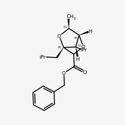 CC(C)C[C@]12O[C@@H](C)[C@H](OC1C(=O)OCc1ccccc1)[C@@H]2C(C)C